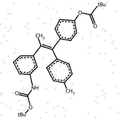 C/C(=C(/c1ccc(C)cc1)c1ccc(OC(=O)C(C)(C)C)cc1)c1cccc(NC(=O)OC(C)(C)C)c1